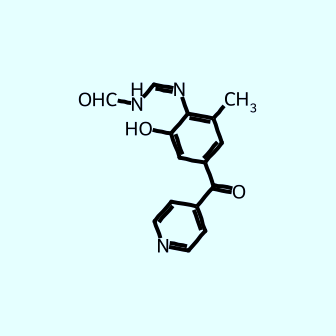 Cc1cc(C(=O)c2ccncc2)cc(O)c1/N=C\NC=O